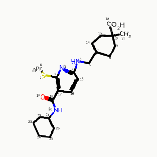 CCCSc1nc(NCC2CCC(C)(C(=O)O)CC2)ccc1C(=O)NC1CCCCC1